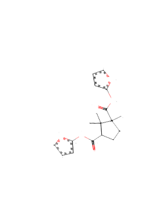 CC1(C(=O)Oc2ccco2)CCC(C(=O)Oc2ccco2)C1(C)C